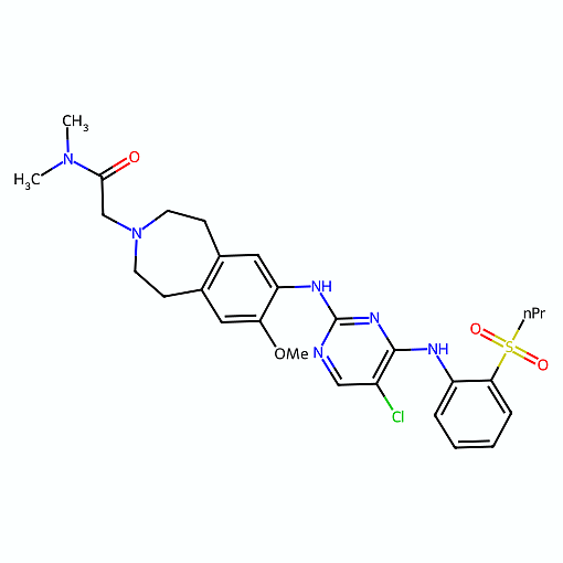 CCCS(=O)(=O)c1ccccc1Nc1nc(Nc2cc3c(cc2OC)CCN(CC(=O)N(C)C)CC3)ncc1Cl